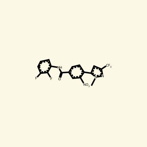 Cn1nc(C(F)(F)F)cc1-c1ccc(C(=O)Nc2cccc(F)c2F)cc1[N+](=O)[O-]